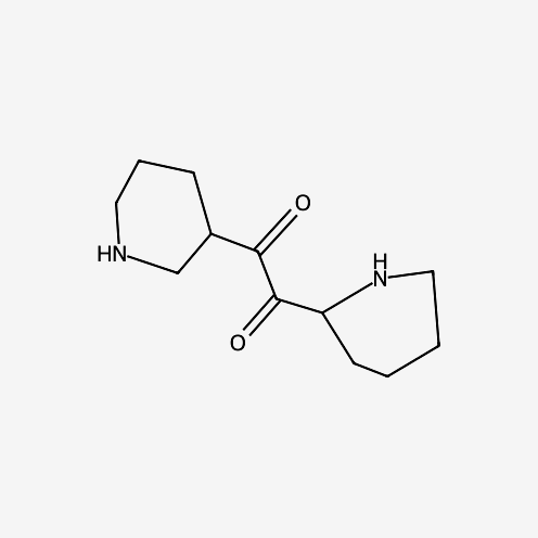 O=C(C(=O)C1CCCCN1)C1CCCNC1